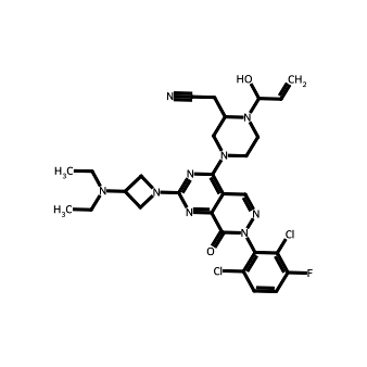 C=CC(O)N1CCN(c2nc(N3CC(N(CC)CC)C3)nc3c(=O)n(-c4c(Cl)ccc(F)c4Cl)ncc23)CC1CC#N